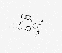 CNC(=O)C(C)(C)C[C@@H]1C[C@H](c2ccc(OCCCOC)cc2)[C@@H](OCc2ccc3c(c2)N(CCCOC)CCO3)CN1C(=O)C(N)C(C)C